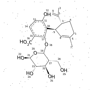 C=C(C)[C@@H]1CCC(C)=C[C@H]1c1c(O)ccc(C(=O)O)c1OC1O[C@H](O)[C@@H](O)[C@H](O)[C@H]1CO